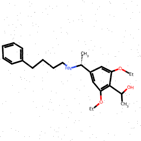 CCOc1cc([C@@H](C)NCCCCc2ccccc2)cc(OCC)c1C(C)O